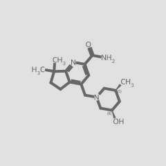 C[C@H]1C[C@@H](O)CN(Cc2cc(C(N)=O)nc3c2CCC3(C)C)C1